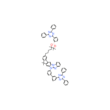 CC1(C)c2ccc(CCCCC3(C)OB(c4cccc(-c5nc(-c6ccccc6)nc(-c6ccccc6)n5)c4)OC3(C)C)cc2-c2cc3c(cc21)n(-c1cccc(-c2cccc(-c4nc(-c5ccccc5)nc(-c5ccccc5)n4)c2)c1)c1nc2ccccc2n31